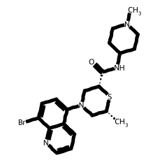 C[C@@H]1CN(c2ccc(Br)c3ncccc23)C[C@H](C(=O)NC2CCN(C)CC2)S1